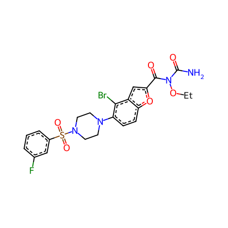 CCON(C(N)=O)C(=O)c1cc2c(Br)c(N3CCN(S(=O)(=O)c4cccc(F)c4)CC3)ccc2o1